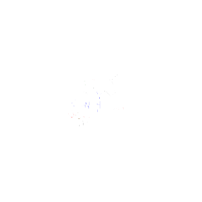 CCCS(=O)(=O)c1ncc(Cl)c(C(=O)Nc2sc3c(c2C(N)=O)CCCC3)n1